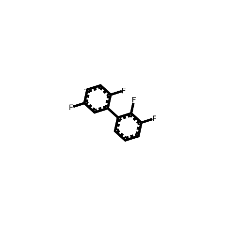 Fc1[c]cc(F)c(-c2cccc(F)c2F)c1